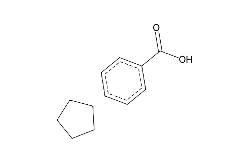 C1CCCC1.O=C(O)c1ccccc1